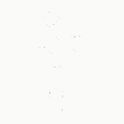 C=N/C(CN(Cc1cccc(-c2ncc(-c3ccc(OC)cc3)s2)n1)Cc1ncccn1)=N\C=C/C